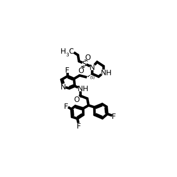 CCCS(=O)(=O)N1CCNC[C@@H]1CCc1c(F)cncc1NC(=O)CC(c1ccc(F)cc1)c1cc(F)cc(F)c1